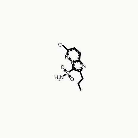 CCCc1nc2ccc(Cl)nn2c1S(N)(=O)=O